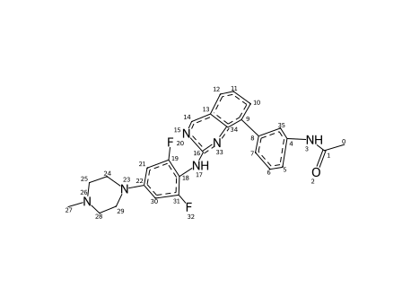 CC(=O)Nc1cccc(-c2cccc3cnc(Nc4c(F)cc(N5CCN(C)CC5)cc4F)nc23)c1